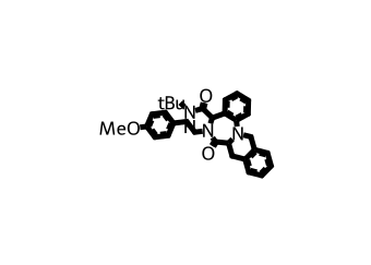 COc1ccc(CCN2C(=O)C3Cc4ccccc4CN3c3ccccc3C2C(=O)NC(C)(C)C)cc1